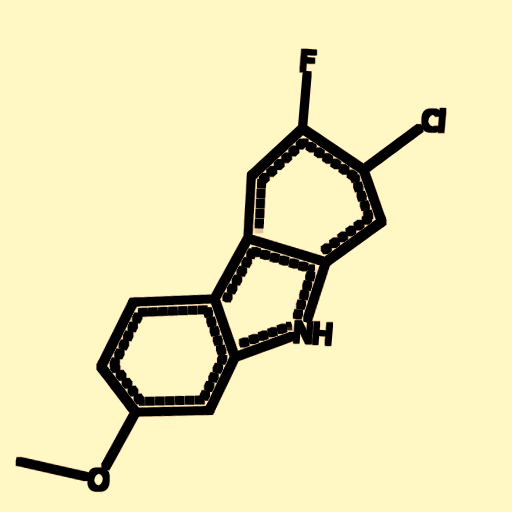 COc1ccc2c(c1)[nH]c1cc(Cl)c(F)cc12